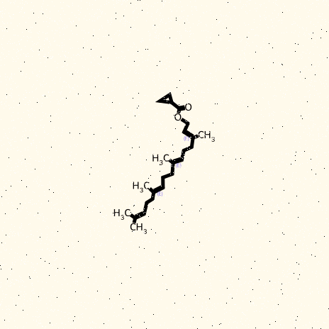 CC(C)=CCC/C(C)=C/CC/C(C)=C/CC/C(C)=C/COC(=O)C1CC1